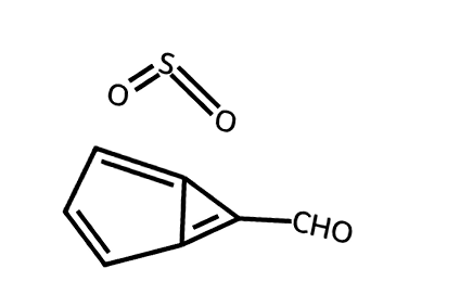 O=Cc1c2cccc1-2.O=S=O